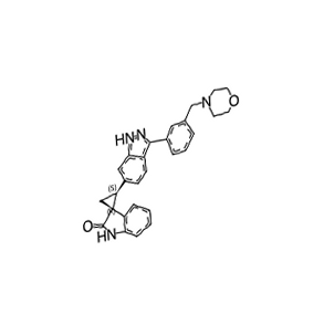 O=C1Nc2ccccc2[C@]12C[C@H]2c1ccc2c(-c3cccc(CN4CCOCC4)c3)n[nH]c2c1